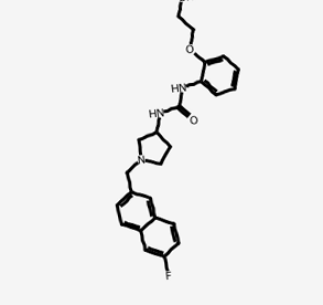 O=C(Nc1ccccc1OCCO)NC1CCN(Cc2ccc3cc(F)ccc3c2)C1